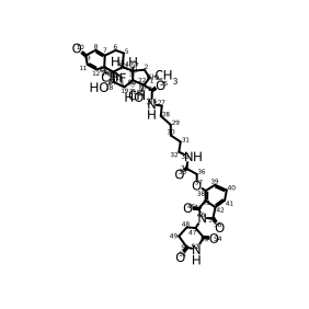 C[C@H]1C[C@H]2[C@@H]3CCC4=CC(=O)C=C[C@]4(C)[C@@]3(F)[C@@H](O)C[C@]2(C)[C@@]1(O)C(=O)NCCCCCCNC(=O)COc1cccc2c1C(=O)N(C1CCC(=O)NC1=O)C2=O